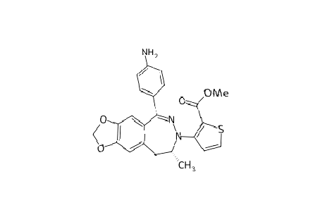 COC(=O)c1sccc1N1N=C(c2ccc(N)cc2)c2cc3c(cc2C[C@H]1C)OCO3